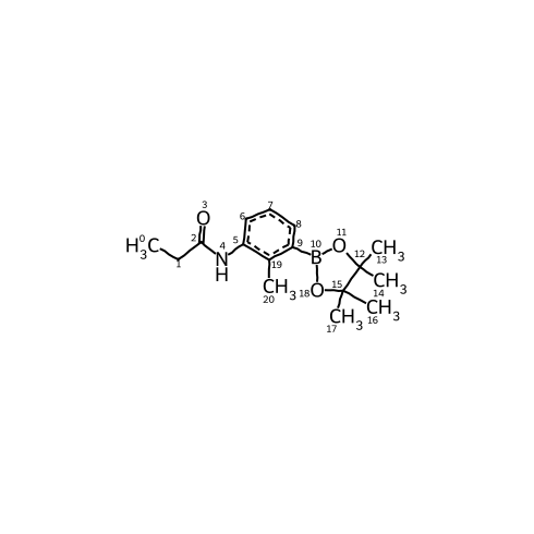 CCC(=O)Nc1cccc(B2OC(C)(C)C(C)(C)O2)c1C